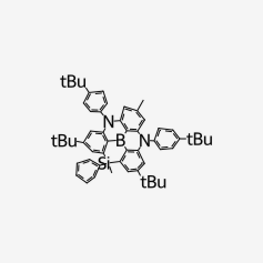 Cc1cc2c3c(c1)N(c1ccc(C(C)(C)C)cc1)c1cc(C(C)(C)C)cc4c1B3c1c(cc(C(C)(C)C)cc1[Si]4(C)c1ccccc1)N2c1ccc(C(C)(C)C)cc1